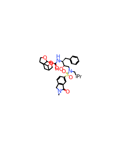 CC(C)CN(C[C@@H](O)[C@H](Cc1ccccc1)NC(=O)OC1C2COC3OCC1C3C2)S(=O)(=O)c1ccc2c(c1)C(=O)N(C)C2